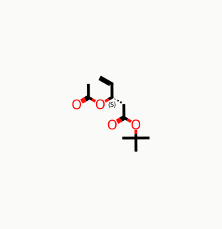 C=C[C@H](CC(=O)OC(C)(C)C)OC(C)=O